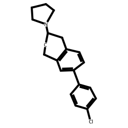 Clc1ccc(-c2ccc3c(c2)CCC(N2CCCC2)C3)cc1